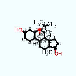 C[C@]12CC[C@@H]3[C@@H](CCC4CC(O)CC[C@@]43CO[Si](C)(C)C)[C@@H]1CCC2O